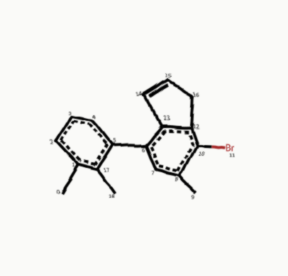 Cc1cccc(-c2cc(C)c(Br)c3c2C=CC3)c1C